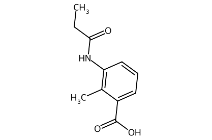 CCC(=O)Nc1cccc(C(=O)O)c1C